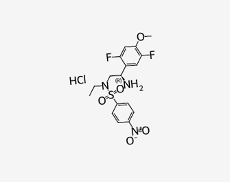 CCN(C[C@H](N)c1cc(F)c(OC)cc1F)S(=O)(=O)c1ccc([N+](=O)[O-])cc1.Cl